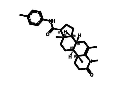 CC1=C2N(C)C(=O)CC[C@]2(C)[C@H]2CC[C@]3(C)[C@@H](C(=O)Nc4ccc(C)cc4)CC[C@H]3[C@@H]2C1